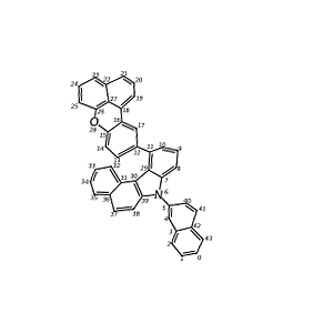 c1ccc2cc(-n3c4cccc(-c5ccc6c(c5)-c5cccc7cccc(c57)O6)c4c4c5ccccc5ccc43)ccc2c1